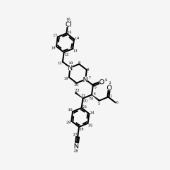 CC(=O)C[C@H](C(=O)N1CCN(Cc2ccc(Cl)cc2)CC1)[C@H](C)c1ccc(C#N)cc1